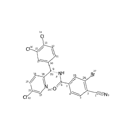 N#Cc1ccc(C(=O)N[C@@H](c2ccc(Cl)c(Cl)c2)c2ccc(Cl)cn2)cc1Br